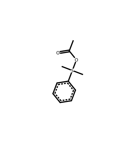 CC(=O)OS(C)(C)c1ccccc1